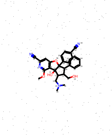 COc1nc(C#N)cc2c1C1(O)C(CN(C)C)C(CO)C(c3ccccc3)C1(c1ccc(C#N)cc1)O2